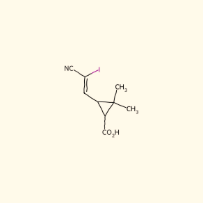 CC1(C)C(C=C(I)C#N)C1C(=O)O